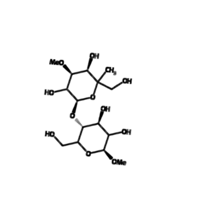 CO[C@H]1OC(CO)[C@H](O[C@@H]2OC(C)(CO)[C@H](O)[C@H](OC)C2O)[C@@H](O)C1O